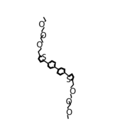 CCOCCOCCOCCc1ccc(-c2ccc(-c3ccc(-c4ccc(CCOCCOCCOCC)s4)cc3)cc2)s1